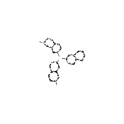 Cc1ccc2ccc(N(c3ccc4ccccc4c3)c3ccc4ccc(C)cc4c3)cc2c1